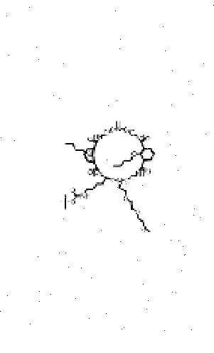 CCCCOc1c2cccc1C(=O)NCCN(CCOCCOCCOC)CC(CCCCNC(=O)OC(C)(C)C)NC(=O)c1cccc(c1OCCCC)C(=O)NCCNCCNC2=O